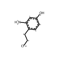 Nc1cc(O)ccc1CCCl